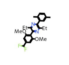 CCc1nc(-c2c(OC)cc(C(F)F)cc2OC)c(CC)nc1-c1cc(C)ccc1C